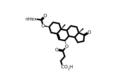 CCCCCCC(=O)O[C@H]1CC[C@@]2(C)C(=C[C@@H](OC(=O)CCC(=O)O)C3C2CC[C@]2(C)C(=O)CCC32)C1